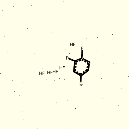 F.F.F.F.F.Fc1ccc([S])cc1F